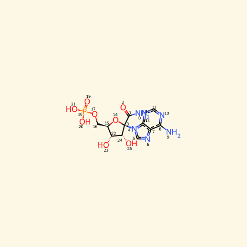 NC(=O)[C@@]1(n2cnc3c(N)ncnc32)O[C@H](COP(=O)(O)O)[C@@H](O)[C@H]1O